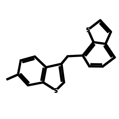 Cc1ccc2c(Cc3cccc4ccsc34)csc2c1